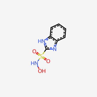 O=S(=O)(NO)c1nc2ccccc2[nH]1